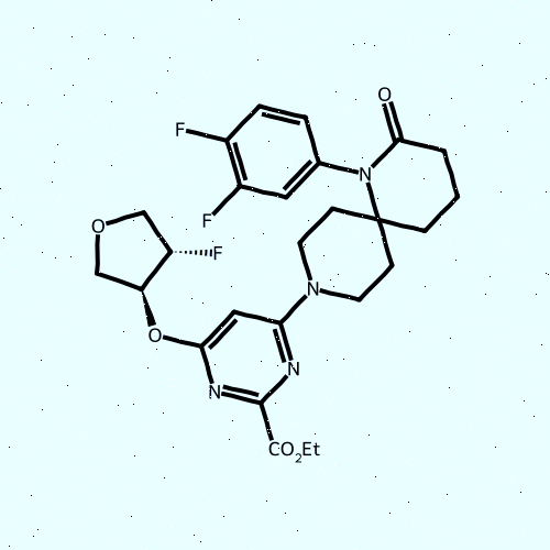 CCOC(=O)c1nc(O[C@H]2COC[C@@H]2F)cc(N2CCC3(CCCC(=O)N3c3ccc(F)c(F)c3)CC2)n1